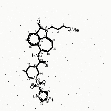 COCCCN1C(=O)c2cccc3c2C1=CCC=C3NC(=O)C1CCCN(S(=O)(=O)c2c[nH]cn2)C1